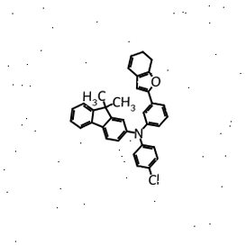 CC1(C)c2ccccc2-c2ccc(N(c3ccc(Cl)cc3)c3cccc(-c4cc5c(o4)CCC=C5)c3)cc21